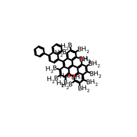 Bc1c(B)c(B)c2c(-c3c4c(B)c(B)c(B)c(B)c4c(-c4ccc(-c5ccccc5)c5ccccc45)c4c(B)c(B)c(B)c(B)c34)c(B)c(B)c(B)c2c1B